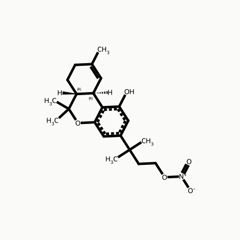 CC1=C[C@H]2c3c(O)cc(C(C)(C)CCO[N+](=O)[O-])cc3OC(C)(C)[C@@H]2CC1